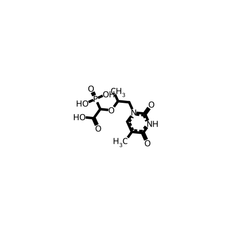 Cc1cn(CC(C)OC(C(=O)O)P(=O)(O)O)c(=O)[nH]c1=O